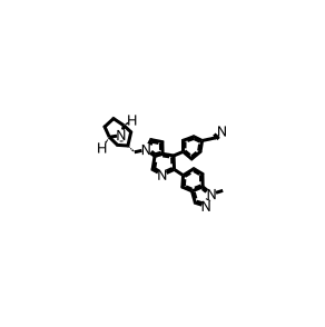 CN1[C@@H]2CC[C@H]1C[C@H](Cn1ccc3c(-c4ccc(C#N)cc4)c(-c4ccc5c(cnn5C)c4)ncc31)C2